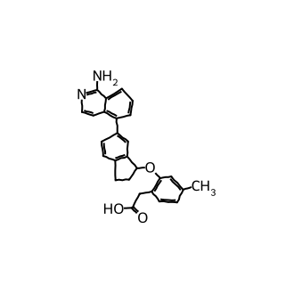 Cc1ccc(CC(=O)O)c(OC2CCc3ccc(-c4cccc5c(N)nccc45)cc32)c1